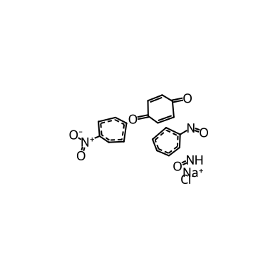 N=O.O=C1C=CC(=O)C=C1.O=Nc1ccccc1.O=[N+]([O-])c1ccccc1.[Cl-].[Na+]